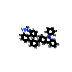 CNc1ccccc1-c1ccccc1-c1cccc(-c2ccc3c(c2)c2ccccc2n3-c2ccccc2)c1